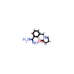 N=C(N)c1cccc(CN2CC[CH]C2=O)c1